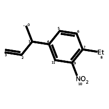 [CH2]C(C=C)c1ccc(CC)c([N+](=O)[O-])c1